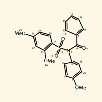 COc1ccc(N(C(=O)c2ccccc2)S(=O)(=O)c2ccc(OC)cc2OC)cc1